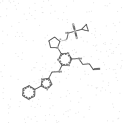 C=CCCNc1nc(NCc2csc(-c3ccccc3)n2)nc(N2CCC[C@@H]2CNS(=O)(=O)C2CC2)n1